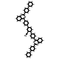 N#Cc1cc(-c2ccc(-c3nc(-c4ccc(-c5ccccc5)cc4)nc4ccccc34)cc2)ccc1-c1ccc(-c2nc(-c3ccc(-c4ccccc4)cc3)nc3ccccc23)cc1